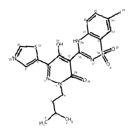 CC(C)CCn1nc(-c2cncs2)c(O)c(C2=NS(=O)(=O)c3cc(I)ccc3N2)c1=O